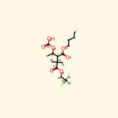 CCCCOC(=O)C(C(C)OC(=O)O)C(C)(C)C(=O)OCC(F)(F)F